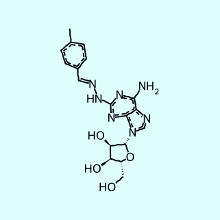 Cc1ccc(/C=N/Nc2nc(N)c3ncn([C@@H]4O[C@H](CO)[C@@H](O)[C@H]4O)c3n2)cc1